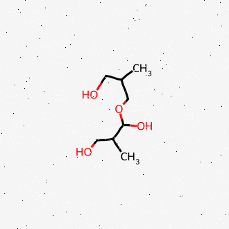 CC(CO)COC(O)C(C)CO